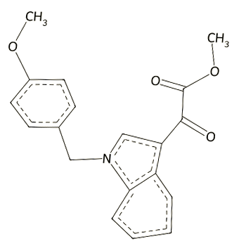 COC(=O)C(=O)c1cn(Cc2ccc(OC)cc2)c2ccccc12